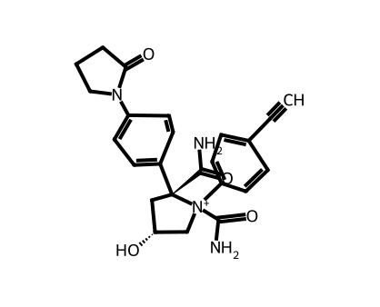 C#Cc1ccc([N+]2(C(N)=O)C[C@H](O)C[C@]2(C(N)=O)c2ccc(N3CCCC3=O)cc2)cc1